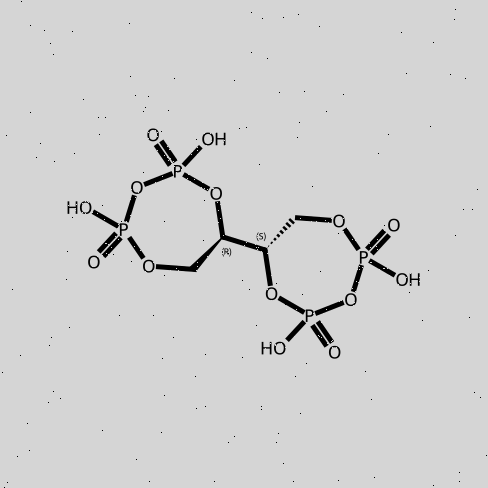 O=P1(O)OC[C@@H]([C@H]2COP(=O)(O)OP(=O)(O)O2)OP(=O)(O)O1